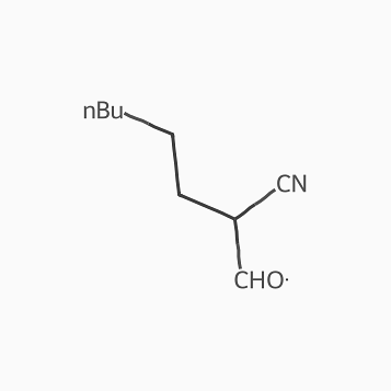 CCCCCCC([C]=O)C#N